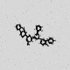 Brc1cc(-c2ccc3c(c2)oc2ccccc23)cc(-c2cc(-c3ccc4oc5ccccc5c4c3)nc(-c3ccccc3)n2)c1